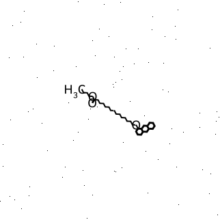 CCCCOC(=O)CCCCCCCCCCCCCCOc1cccc2cc3ccccc3cc12